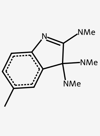 CNC1=Nc2ccc(C)cc2C1(NC)NC